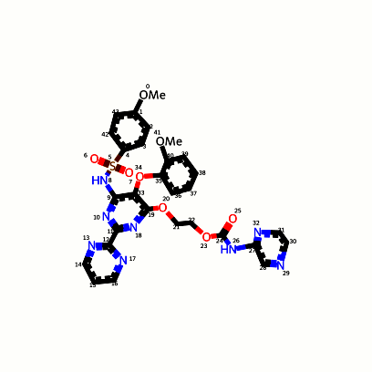 COc1ccc(S(=O)(=O)Nc2nc(-c3ncccn3)nc(OCCOC(=O)Nc3cnccn3)c2Oc2ccccc2OC)cc1